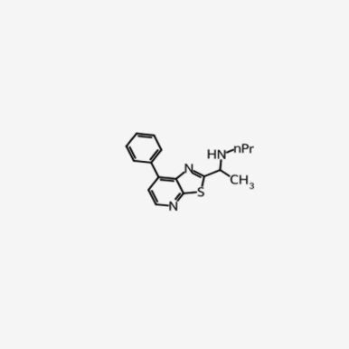 CCCNC(C)c1nc2c(-c3ccccc3)ccnc2s1